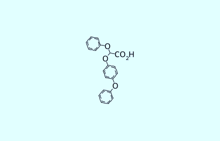 O=C(O)C(Oc1ccccc1)Oc1ccc(Oc2ccccc2)cc1